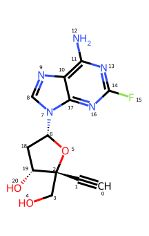 C#C[C@]1(CO)O[C@@H](n2cnc3c(N)nc(F)nc32)C[C@H]1O